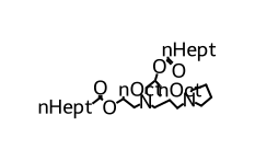 CCCCCCCCC(CN(CCCN1CCCC1)CC(CCCCCCCC)OC(=O)CCCCCCC)OC(=O)CCCCCCC